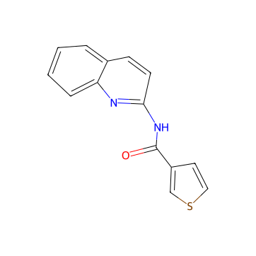 O=C(Nc1ccc2ccccc2n1)c1ccsc1